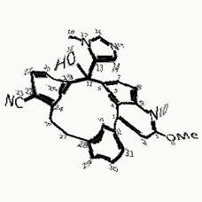 COc1cc2c3cc(ccc3n1)C(O)(c1cncn1C)c1ccc(C#N)c(c1)CCc1cccc-2c1